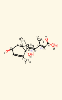 CC1=CC(=O)CC(C)(C)[C@@]1(O)/C=C/C(C)=C/C(=O)O